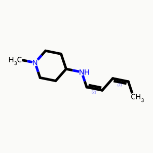 C/C=C\C=C/NC1CCN(C)CC1